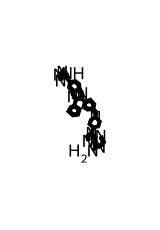 Nc1ncnc2c1ncn2C1CCN(Cc2ccc(-c3nc4ccc(-c5nnn[nH]5)cc4nc3-c3ccccc3)cc2)CC1